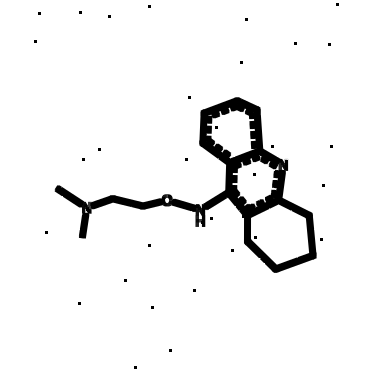 CN(C)CCONc1c2c(nc3ccccc13)CCCC2